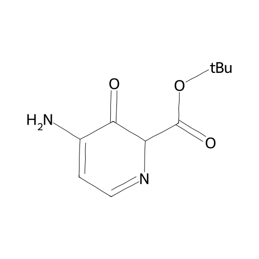 CC(C)(C)OC(=O)C1N=CC=C(N)C1=O